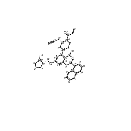 C=CC(=O)N1CCN(c2nc(OC[C@@H]3CCCN3C)nc3c2C(C)OC(c2cccc4ccccc24)C3)C[C@@H]1CC#N